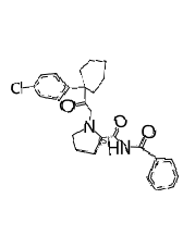 O=C(NC(=O)[C@@H]1CCCN1CC(=O)C1(c2ccc(Cl)cc2)CCCCC1)c1ccccc1